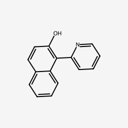 Oc1ccc2ccccc2c1-c1ccccn1